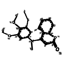 CCc1cc(N(C)c2cc(=O)oc3ccccc23)cc(OC)c1OC